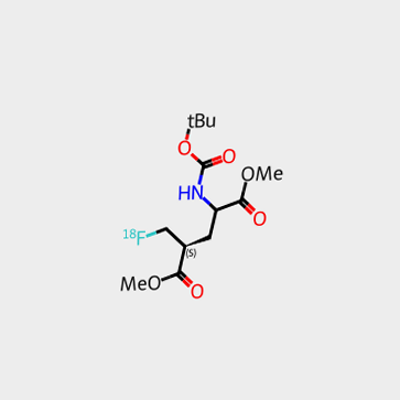 COC(=O)C(C[C@H](C[18F])C(=O)OC)NC(=O)OC(C)(C)C